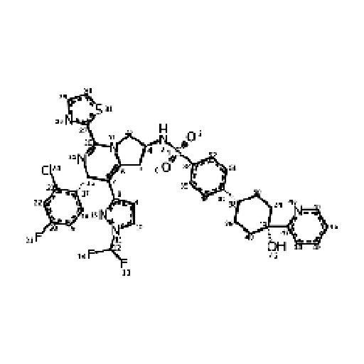 O=S(=O)(N[C@H]1CC2=C(c3ccn(C(F)F)n3)[C@H](c3ccc(F)cc3Cl)N=C(c3nccs3)N2C1)c1ccc([C@H]2CC[C@](O)(c3ccccn3)CC2)cc1